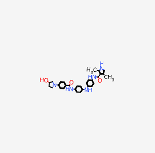 Cc1c[nH]c(C)c1C(=O)Nc1ccc(Nc2ccc(NC(=O)c3ccc(N4CCC(O)C4)cc3)cc2)cc1